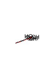 CCCCCCCCCCCCCCCCCC(=O)OC[C@H](O)[C@@H](O)[C@H](O)CO